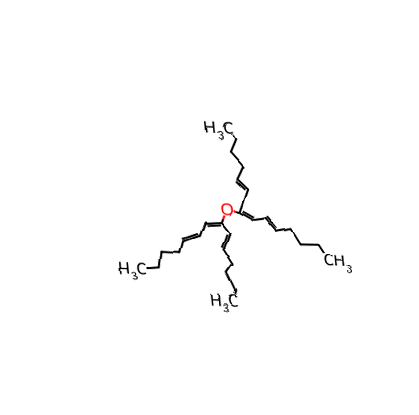 CCCC/C=C/C=C(\C=C\CCCC)OC(/C=C/CCCC)=C/C=C/CCCC